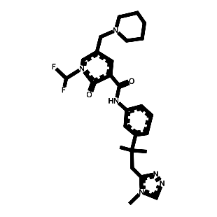 Cn1cnnc1CC(C)(C)c1cccc(NC(=O)c2cc(CN3CCCCC3)cn(C(F)F)c2=O)c1